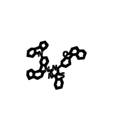 c1ccc2c(c1)ccc1oc3cc(-c4nc(-n5c6ccc(-n7c8ccccc8c8ccccc87)cc6c6c7ccccc7ccc65)nc5c4sc4ccccc45)ccc3c12